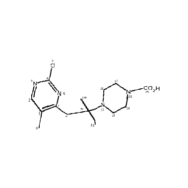 Cc1cnc(Cl)nc1CC(C)(C)N1CCN(C(=O)O)CC1